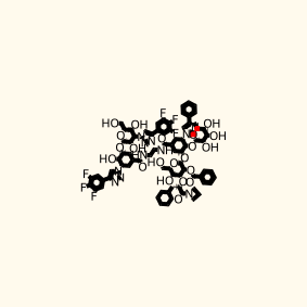 CC1O[C@@H](OC2C(n3cc(-c4ccccc4)nn3)CC(C(=O)NCCNC(=O)C3CC(n4cc(-c5cc(F)c(F)c(F)c5)nn4)C(O)[C@H](O[C@@H]4OC(CO)[C@H](O)C(n5cc(-c6cc(F)c(F)c(F)c6)nn5)C4O)C3)C[C@H]2O[C@@H]2OC(CO)[C@H](O)C(O[C@@H](CC3CCCCC3)C(=O)N3CCC3)C2OC(=O)c2ccccc2)C(O)C(O)[C@@H]1O